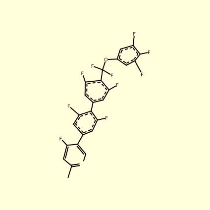 C=C(C)/C=C(F)\C(=C/C)c1cc(F)c(-c2cc(F)c(C(F)(F)Oc3cc(F)c(F)c(F)c3)c(F)c2)c(F)c1